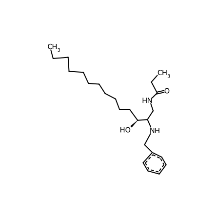 CCCCCCCCCCC[C@H](O)C(CNC(=O)CC)NCc1ccccc1